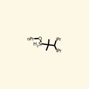 CCCO[SiH2]C(C)(C)C(C(C)C)C(C)C